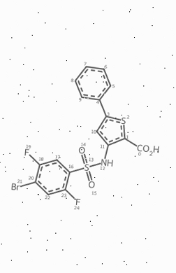 O=C(O)c1sc(-c2ccccc2)cc1NS(=O)(=O)c1cc(F)c(Br)cc1F